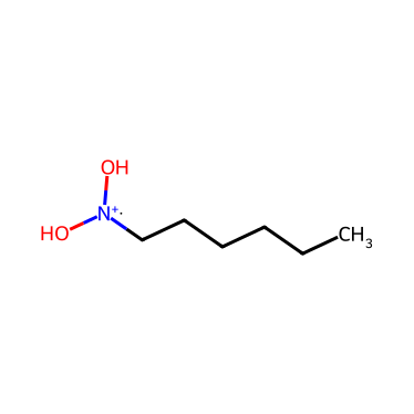 CCCCCC[N+](O)O